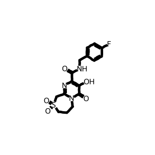 O=C(NCc1ccc(F)cc1)c1nc2n(c(=O)c1O)CCCS(=O)(=O)C2